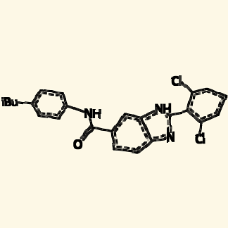 CCC(C)c1ccc(NC(=O)c2ccc3nc(-c4c(Cl)cccc4Cl)[nH]c3c2)cc1